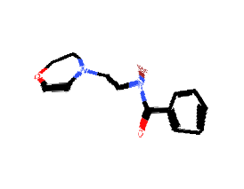 O=C(c1ccccc1)N(Br)CCN1CCOCC1